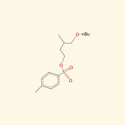 CCCCOCC(C)CCOS(=O)(=O)c1ccc(C)cc1